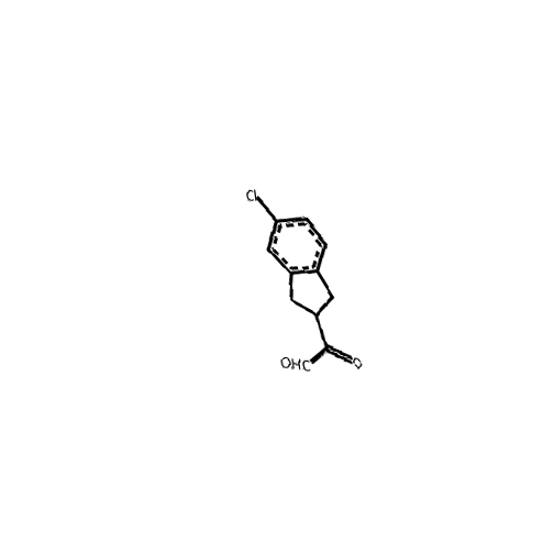 O=CC(=O)C1Cc2ccc(Cl)cc2C1